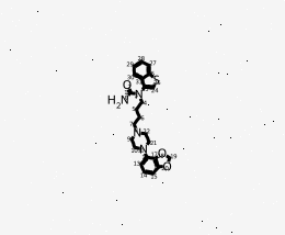 NC(=O)N(CCCCN1CCN(c2cccc3c2OCO3)CC1)c1csc2ccccc12